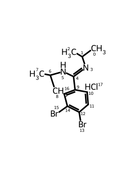 CC(C)/N=C(\NC(C)C)c1ccc(Br)c(Br)c1.Cl